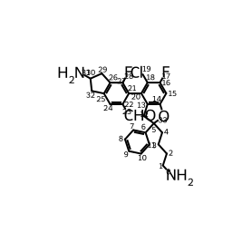 NCCCCC1(c2ccccc2)Cc2c(cc(F)c(Cl)c2-c2c(C=O)cc3c(c2F)CC(N)C3)O1